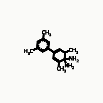 CC1=CC(c2cc(C)cc(C)c2)=CC(C)C1(N)N